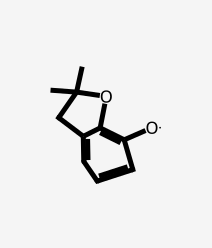 CC1(C)Cc2cccc([O])c2O1